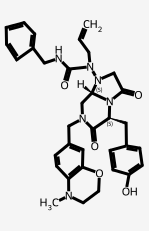 C=CCN(C(=O)NCc1ccccc1)N1CC(=O)N2[C@@H](Cc3ccc(O)cc3)C(=O)N(Cc3ccc4c(c3)OCCN4C)C[C@@H]21